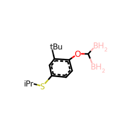 BC(B)Oc1ccc(SC(C)C)cc1C(C)(C)C